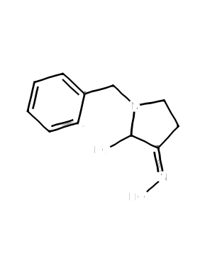 CC1/C(=N\O)CCN1Cc1ccccc1